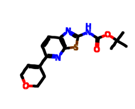 CC(C)(C)OC(=O)Nc1nc2ccc(C3=CCOCC3)nc2s1